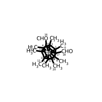 C[C]12[C]3(C)[C]4(C)[C]5(C)[C]1(C)[Fe]23451678[C]2(C)[C]1(C)[C]6(C=O)[C]7(C=O)[C]28C